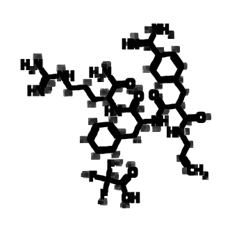 C=CCNC(=O)C(Cc1ccc(C(=N)N)cc1)C(=O)NC(Cc1ccccc1)C(=O)N[C@@H](CCCNC(=N)N)C(N)=O.O=C(O)C(F)(F)F